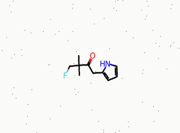 CC(C)(CF)C(=O)Cc1ccc[nH]1